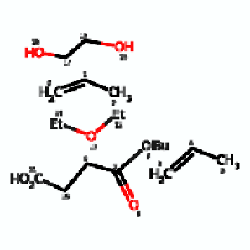 C=CC.C=CC.CC(C)COC(=O)CCC(=O)O.CCOCC.OCCO